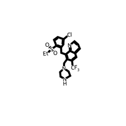 CCS(=O)(=O)c1ccc(Cl)cc1Cc1c(CN2CCNCC2)c(C(F)(F)F)cc2cccnc12